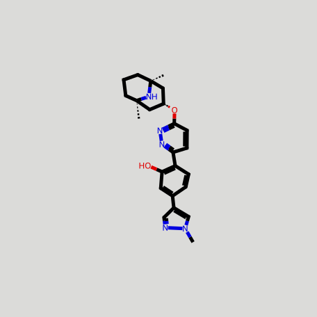 Cn1cc(-c2ccc(-c3ccc(O[C@H]4C[C@]5(C)CCC[C@](C)(C4)N5)nn3)c(O)c2)cn1